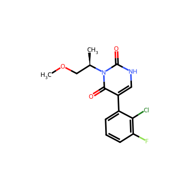 COC[C@@H](C)n1c(=O)[nH]cc(-c2cccc(F)c2Cl)c1=O